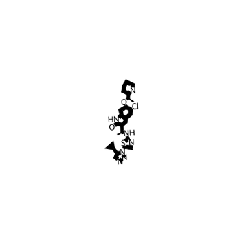 C[C@H](Nc1ncc(-n2nncc2C2CC2)s1)c1cc2cc(Cl)c(O[C@H](C)c3ccccn3)cc2[nH]c1=O